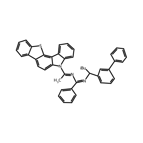 CCC(C)C(/N=C(\N=C(/C)n1c2ccccc2c2c3sc4ccccc4c3ccc21)c1ccccc1)c1cccc(-c2ccccc2)c1